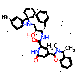 C[C@H](c1ccccc1)N(C)C(=O)c1cc(C(=O)N[C@@H](Cc2ccccc2)[C@H](O)CNC2(c3cccc(C(C)(C)C)c3)CCCCC2)[nH]c(=O)c1